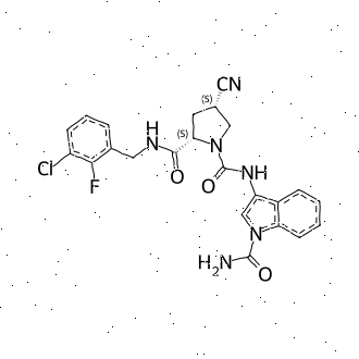 N#C[C@H]1C[C@@H](C(=O)NCc2cccc(Cl)c2F)N(C(=O)Nc2cn(C(N)=O)c3ccccc23)C1